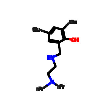 CCCN(CCC)CCNCc1cc(C(C)(C)C)cc(C(C)(C)C)c1O